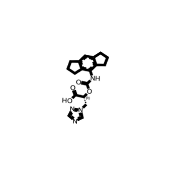 O=C(Nc1c2c(cc3c1CCC3)CCC2)O[C@H](Cn1cncn1)C(=O)O